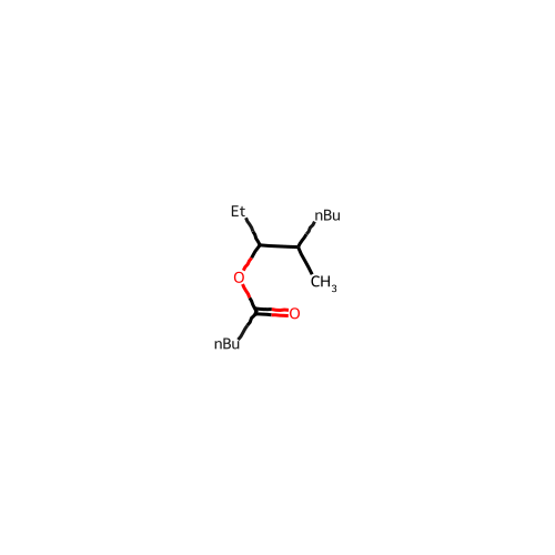 CCCCC(=O)OC(CC)C(C)CCCC